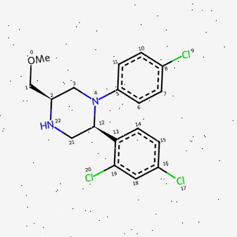 COC[C@H]1CN(c2ccc(Cl)cc2)[C@@H](c2ccc(Cl)cc2Cl)CN1